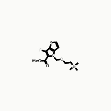 COC(=O)c1c(F)c2sccc2n1COCC[Si](C)(C)C